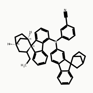 CCC1C[C@H]2CC[C@H](C2)[C@]12c1ccccc1-c1c(N(c3cccc(C#N)c3)c3ccc4c(c3)C3(CC5CCC3C5)c3ccccc3-4)cccc12